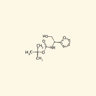 CC(C)(C)OC(=O)NC(CO)c1ccco1